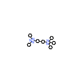 c1ccc(-c2nc(-c3ccccc3)nc(-c3ccc(-c4ccc(-c5nc(-c6ccccc6)c(-c6ccccc6)c(-c6ccccc6)n5)cc4)cc3)n2)cc1